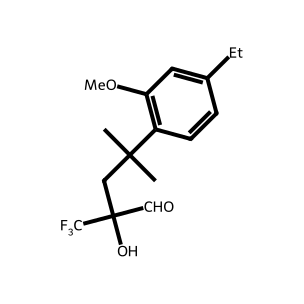 CCc1ccc(C(C)(C)CC(O)(C=O)C(F)(F)F)c(OC)c1